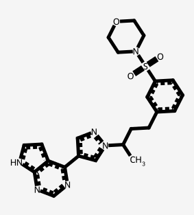 CC(CCc1cccc(S(=O)(=O)N2CCOCC2)c1)n1cc(-c2ncnc3[nH]ccc23)cn1